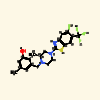 Cc1cc(O)cc(CN2CCN(c3nc4cc(F)c(C(F)(F)F)cc4s3)C[C@H]2C)c1